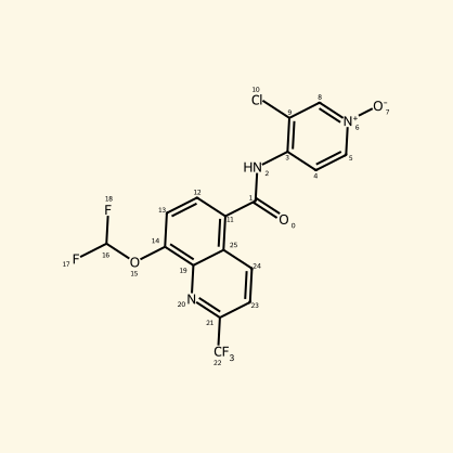 O=C(Nc1cc[n+]([O-])cc1Cl)c1ccc(OC(F)F)c2nc(C(F)(F)F)ccc12